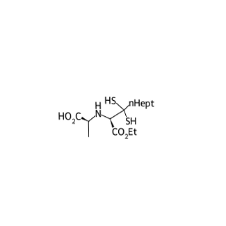 CCCCCCCC(S)(S)[C@H](N[C@@H](C)C(=O)O)C(=O)OCC